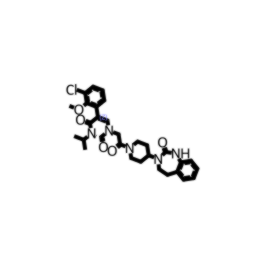 COc1c(Cl)cccc1/C(=C/N(C=O)CC(=O)N1CCC(N2CCc3ccccc3NC2=O)CC1)C(=O)N(C)C(C)C